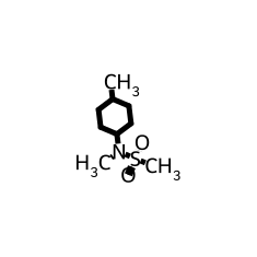 CC1CCC(N(C)S(C)(=O)=O)CC1